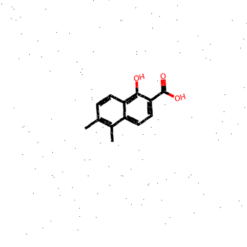 Cc1ccc2c(O)c(C(=O)O)ccc2c1C